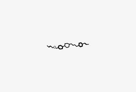 CC=CCOCc1ccc(C2CCC(CCCCc3ccc(/C=C/C)cc3)CC2)cc1